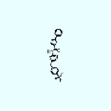 O=C(Nc1ncc(Cc2ccc(C(F)(F)F)cc2)s1)c1ccc(-c2ccccc2)s1